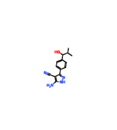 CC(C)C(O)c1ccc(-c2n[nH]c(N)c2C#N)cc1